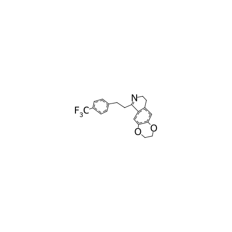 FC(F)(F)c1ccc(CCC2=NCCc3cc4c(cc32)OCCO4)cc1